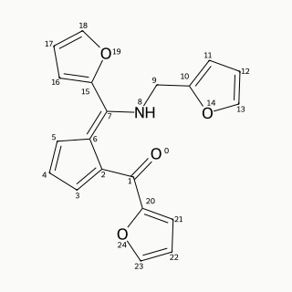 O=C(C1=CC=C/C1=C(/NCc1ccco1)c1ccco1)c1ccco1